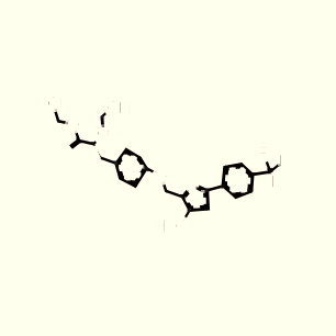 CCOC(=O)[C@H](Cc1ccc(OCc2sc(-c3ccc(C(F)(F)F)cc3)cc2C)cc1)OCC